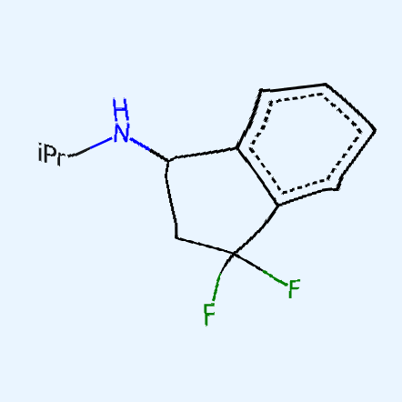 CC(C)NC1CC(F)(F)c2ccccc21